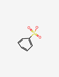 [O]S(=O)(=O)c1ccccc1